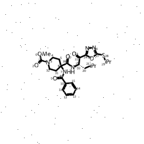 COC(=O)N1CCC(NC(=O)c2ccccc2)(C(=O)N[C@@H](CC(C)C)C(=O)c2nnc(SC(C)C)o2)CC1